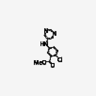 COC(=O)c1cc(Nc2cncnc2)ccc1Cl